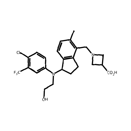 Cc1ccc2c(c1CN1CC(C(=O)O)C1)CCC2N(CCO)c1ccc(Cl)c(C(F)(F)F)c1